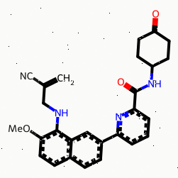 C=C(C#N)CNc1c(OC)ccc2ccc(-c3cccc(C(=O)NC4CCC(=O)CC4)n3)cc12